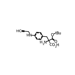 C#CCNc1ccc(CC(N)(C(=O)O)C(=O)OC(C)(C)C)cc1